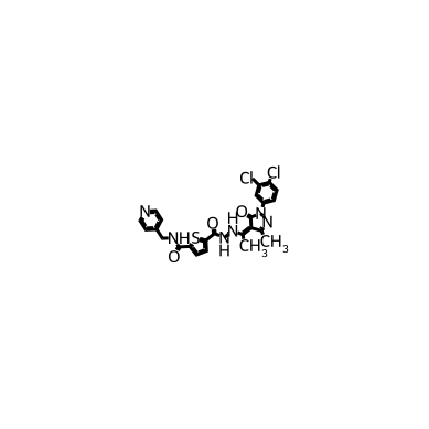 CC1=NN(c2ccc(Cl)c(Cl)c2)C(=O)/C1=C(/C)NNC(=O)c1ccc(C(=O)NCc2ccncc2)s1